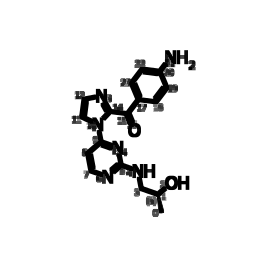 C[C@H](O)CNc1nccc(-n2ccnc2C(=O)c2ccc(N)cc2)n1